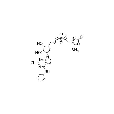 Cc1oc(=O)oc1COP(C)(=O)OOC[C@H]1O[C@@H](n2ccc3c(NC4CCCC4)nc(Cl)nc32)[C@H](O)[C@@H]1O